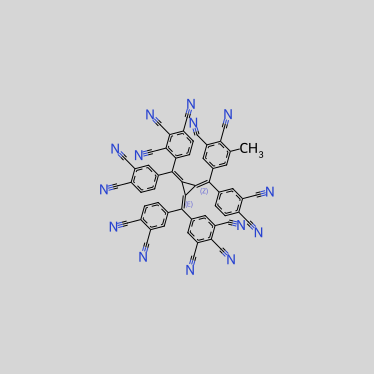 Cc1cc(/C(=C2\C(=C(c3ccc(C#N)c(C#N)c3)c3ccc(C#N)c(C#N)c3C#N)\C2=C(/c2ccc(C#N)c(C#N)c2)c2cc(C#N)c(C#N)c(C#N)c2)c2ccc(C#N)c(C#N)c2)cc(C#N)c1C#N